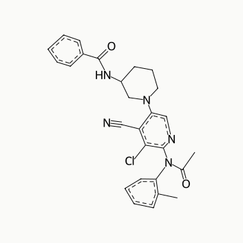 CC(=O)N(c1ccccc1C)c1ncc(N2CCCC(NC(=O)c3ccccc3)C2)c(C#N)c1Cl